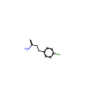 C=C(N)CCc1ccc(F)cc1